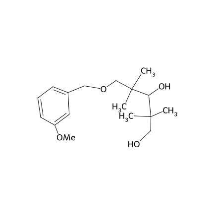 COc1cccc(COCC(C)(C)C(O)C(C)(C)CO)c1